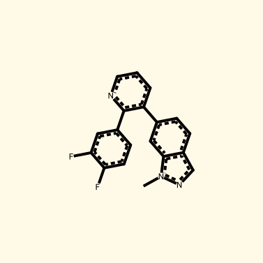 Cn1ncc2ccc(-c3cccnc3-c3ccc(F)c(F)c3)cc21